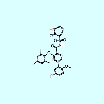 COc1ccc(F)cc1-c1ccc(C(=O)NS(=O)(=O)c2ccc[nH]c2=O)c(Oc2c(C)cc(C)cc2C)n1